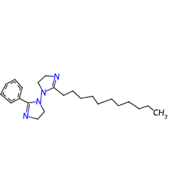 CCCCCCCCCCCC1=NCCN1N1CCN=C1c1ccccc1